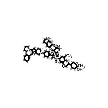 CC(C)c1ccccc1[C@@H]1CCCN1C1CC2(CCN(c3ccc(C(=O)NS(=O)(=O)c4cc5c(c([N+](=O)[O-])c4)NC(C4CCC(C)(O)CC4)CO5)c(N4c5cc6cc[nH]c6nc5O[C@@H]5COC[C@H]54)c3)CC2)C1